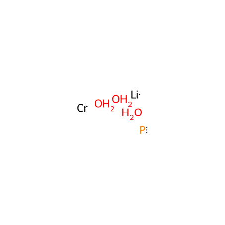 O.O.O.[Cr].[Li].[P]